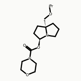 CC(C)OC[C@]12CCCN1[C@@H](OC(=O)N1CCOCC1)CC2